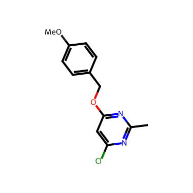 COc1ccc(COc2cc(Cl)nc(C)n2)cc1